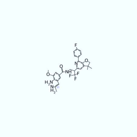 COc1cc(C(=O)NCC(c2cc3c(c(-c4ccc(F)cc4)n2)OCC3(C)C)C(F)(F)F)cc(/C=C(/C)N)c1N